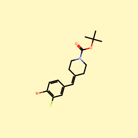 CC(C)(C)OC(=O)N1CCC(=Cc2ccc(Br)c(F)c2)CC1